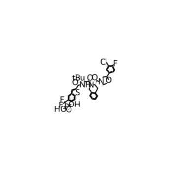 CC(C)(C)[C@H](NC(=O)c1cc2cc(C(F)(F)P(=O)(O)O)ccc2s1)C(=O)N1Cc2ccccc2C[C@H]1C(=O)N1CCOC(c2ccc(F)c(Cl)c2)C1